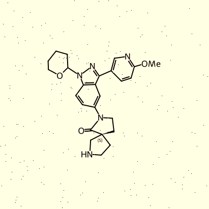 COc1ccc(-c2nn(C3CCCCO3)c3ccc(N4CC[C@]5(CCNC5)C4=O)cc23)cn1